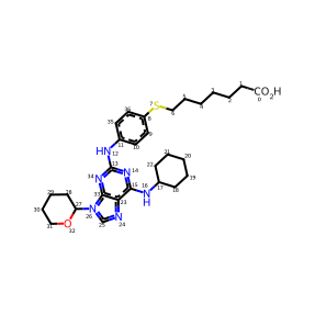 O=C(O)CCCCCCSc1ccc(Nc2nc(NC3CCCCC3)c3ncn(C4CCCCO4)c3n2)cc1